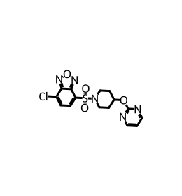 O=S(=O)(c1ccc(Cl)c2nonc12)N1CCC(Oc2ncccn2)CC1